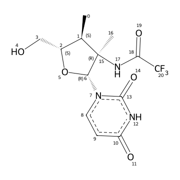 C[C@@H]1[C@@H](CO)O[C@@H](n2ccc(=O)[nH]c2=O)[C@]1(C)NC(=O)C(F)(F)F